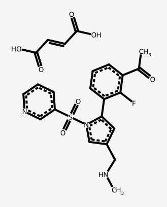 CNCc1cc(-c2cccc(C(C)=O)c2F)n(S(=O)(=O)c2cccnc2)c1.O=C(O)/C=C/C(=O)O